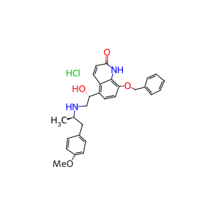 COc1ccc(C[C@@H](C)NC[C@H](O)c2ccc(OCc3ccccc3)c3[nH]c(=O)ccc23)cc1.Cl